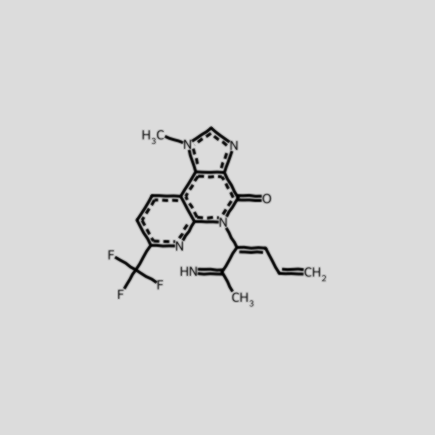 C=C/C=C(\C(C)=N)n1c(=O)c2ncn(C)c2c2ccc(C(F)(F)F)nc21